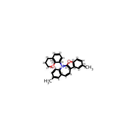 Cc1ccc2c(c1)C=Cc1c(oc3ccc(C)cc13)N2c1cccc2c1OCCC2